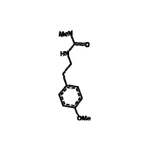 CNC(=O)NCCc1ccc(OC)cc1